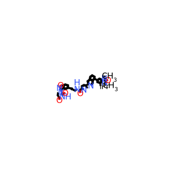 CC(C)c1cc(-c2cccc3cc(-c4ccc(C(=O)NCC#Cc5ccc6onc(N7CCC(=O)NC7=O)c6c5)nc4)ncc23)cc2c1n(C)c(=O)n2C